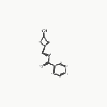 O=C(N=CC1CC(O)C1)c1ccccc1